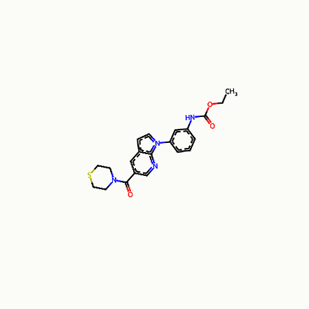 CCOC(=O)Nc1cccc(-n2ccc3cc(C(=O)N4CCSCC4)cnc32)c1